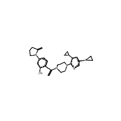 C=C(c1ccc(N2CCCC2=C)cc1C#N)N1CCN(c2ncc(C3CC3)cc2C2CC2)CC1